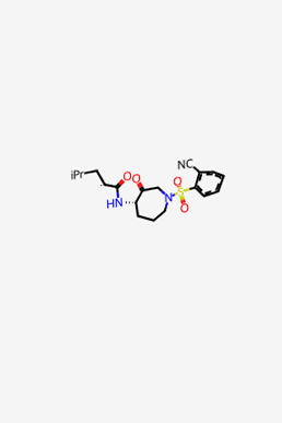 CC(C)C[CH]C(=O)N[C@H]1CCCN(S(=O)(=O)c2ccccc2C#N)CC1=O